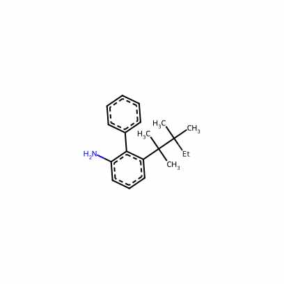 CCC(C)(C)C(C)(C)c1cccc(N)c1-c1ccccc1